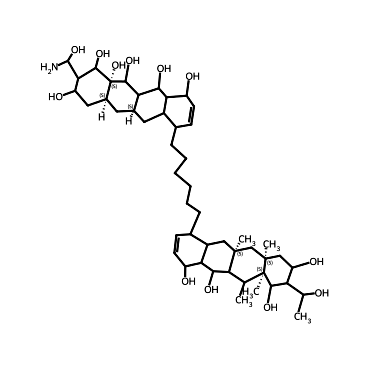 CC(O)C1C(O)C[C@]2(C)C[C@]3(C)CC4C(CCCCCCC5C=CC(O)C6C(O)C7C(O)[C@]8(O)C(O)C(C(N)O)C(O)C[C@@H]8C[C@@H]7CC56)C=CC(O)C4C(O)C3C(C)[C@]2(C)C1O